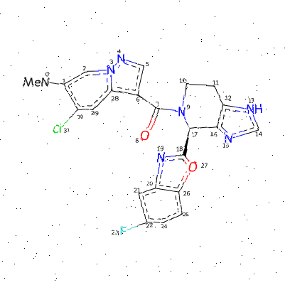 CNc1cn2ncc(C(=O)N3CCc4[nH]cnc4[C@H]3c3nc4cc(F)ccc4o3)c2cc1Cl